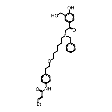 CCC=CC(=O)Nc1ccc(CCOCCCCCCN(CC(=O)c2ccc(O)c(CO)c2)Cc2ccccc2)cc1